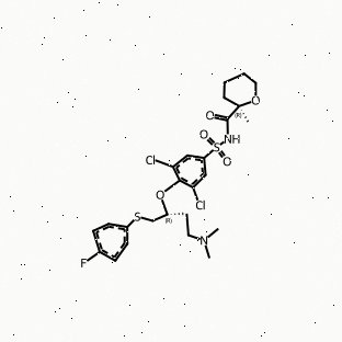 CN(C)CC[C@H](CSc1ccc(F)cc1)Oc1c(Cl)cc(S(=O)(=O)NC(=O)[C@@]2(C)CCCCO2)cc1Cl